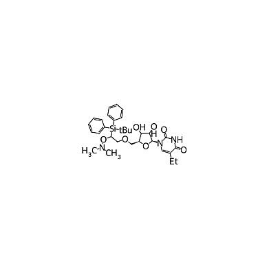 CCc1cn([C@H]2O[C@@H](COCC(ON(C)C)[Si](c3ccccc3)(c3ccccc3)C(C)(C)C)C(O)C2O)c(=O)[nH]c1=O